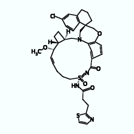 CO[C@H]1/C=C/CCC[S@@](=O)(NC(=O)CCc2nccs2)=NC(=O)c2ccc3c(c2)N(C[C@@H]2CC[C@H]21)C[C@@]1(CCCc2cc(Cl)ccc21)CO3